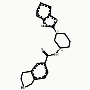 O=C(N[C@@H]1CCC[C@H](c2nc3ccccc3[nH]2)C1)c1ccc2c(c1)CCNC2